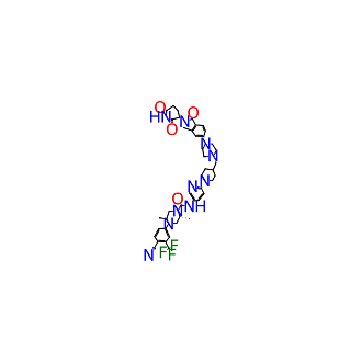 C[C@@H]1CN(c2ccc(C#N)c(C(F)(F)F)c2)[C@@H](C)CN1C(=O)Nc1ccc(N2CCC(CN3CCN(c4ccc5c(c4)CN(C4CCC(=O)NC4=O)C5=O)CC3)CC2)nc1